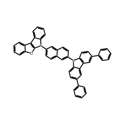 c1ccc(-c2ccc3c(c2)c2cc(-c4ccccc4)ccc2n3-c2ccc3cc(-n4c5ccccc5c5c6ccccc6oc54)ccc3c2)cc1